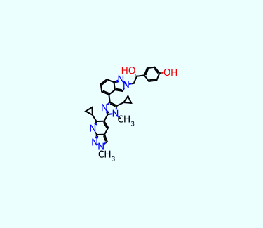 Cn1cc2cc(-c3nc(-c4cccc5nn(C[C@H](O)c6ccc(O)cc6)cc45)c(C4CC4)n3C)c(C3CC3)nc2n1